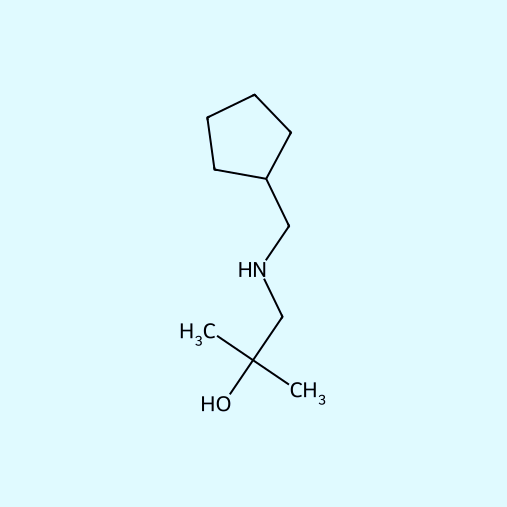 CC(C)(O)CNCC1CCCC1